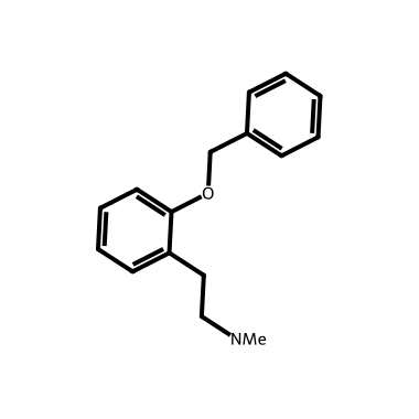 CNCCc1ccccc1OCc1ccccc1